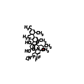 Cc1cc(C)c(-c2cc(C)c(F)c([C@@](O)(CC(=O)O)NC(=O)C(CC(C)C)n3cc(CCN4CCC4)c(C(F)(F)F)cc3=O)c2F)c(C)c1